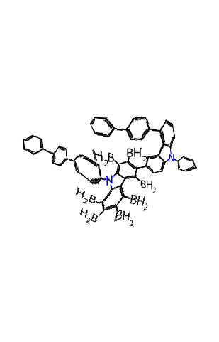 Bc1c(B)c(B)c2c(c1B)c1c(B)c(-c3ccc4c(c3)c3c(-c5ccc(-c6ccccc6)cc5)cccc3n4-c3ccccc3)c(B)c(B)c1n2-c1ccc(-c2ccc(-c3ccccc3)cc2)cc1